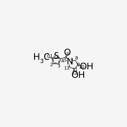 Cc1ccc(C(=O)N2CC(O)C(O)C2)s1